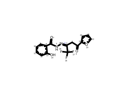 O=C(C/C(=N/NC(=O)c1ccccc1O)C(F)(F)F)c1ccco1